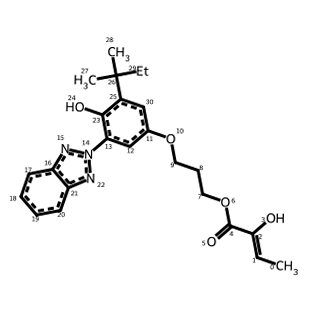 CC=C(O)C(=O)OCCCOc1cc(-n2nc3ccccc3n2)c(O)c(C(C)(C)CC)c1